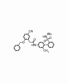 Cc1cc(NC(=O)Cc2cc(C#N)ccc2OCc2ccccc2)ccc1-c1ccccc1S(=O)(=O)NC(C)(C)C